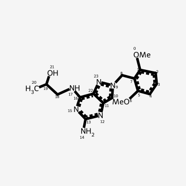 COc1cccc(OC)c1Cn1cc2nc(N)nc(NCC(C)O)c2n1